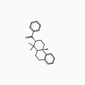 CC1(C)C2CCc3ccccc3[C@@]2(C)CC[C@@H]1C(=O)c1ccccc1